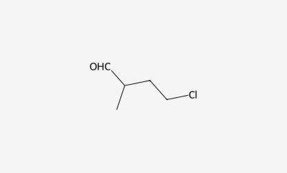 CC(C=O)CCCl